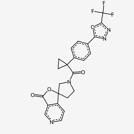 O=C1OC2(CCN(C(=O)C3(c4ccc(-c5nnc(C(F)(F)F)o5)cc4)CC3)C2)c2ccncc21